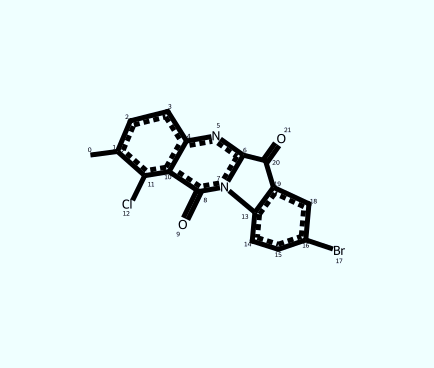 Cc1ccc2nc3n(c(=O)c2c1Cl)-c1ccc(Br)cc1C3=O